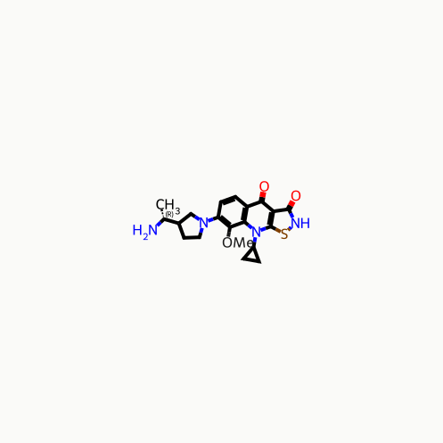 COc1c(N2CCC([C@@H](C)N)C2)ccc2c(=O)c3c(=O)[nH]sc3n(C3CC3)c12